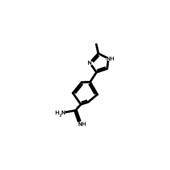 Cc1nc(-c2ccc(C(=N)N)cc2)c[nH]1